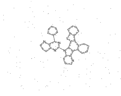 c1ccc(-c2nc(-n3c4cccnc4c4c5ccccc5c5c6ccccc6sc5c43)nc3cccnc23)cc1